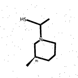 CC(S)N1CCC[C@@H](C)C1